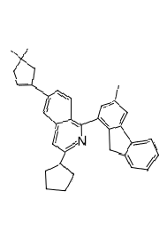 Cc1cc2c(c(-c3nc(C4CCCC4)cc4cc(C5CCC(C)(C)C5)ccc34)c1)Cc1ccccc1-2